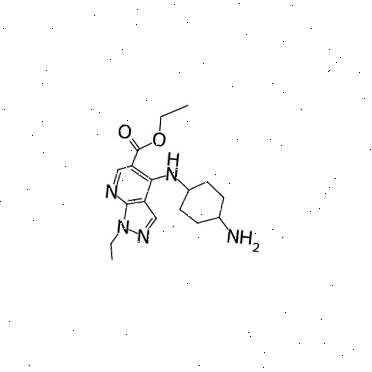 CCOC(=O)c1cnc2c(cnn2CC)c1NC1CCC(N)CC1